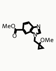 COC(=O)c1ccc2ncn(CC3(OC)CC3)c2c1